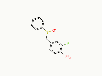 Bc1ccc(C[S+]([O-])c2ccccc2)cc1F